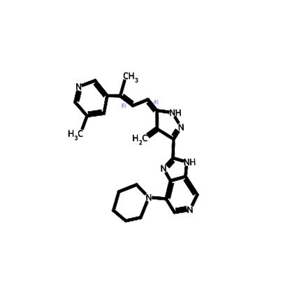 C=c1c(-c2nc3c(N4CCCCC4)cncc3[nH]2)n[nH]/c1=C/C=C(\C)c1cncc(C)c1